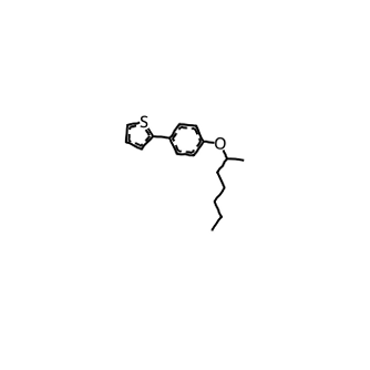 CCCCCC(C)Oc1ccc(-c2cccs2)cc1